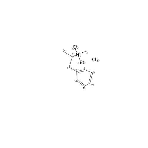 CC[N+](C)(CC)C(C)Cc1ccccc1.[Cl-]